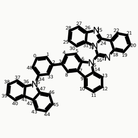 c1cc(-c2ccc3c(c2)c2ccccc2n3-c2nc3ccccc3c3nc4ccccc4n23)cc(-n2c3ccccc3c3ccccc32)c1